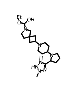 CCOC(O)N1CCC2(CC(N3CCC(N4CCCC4C4=NN(C)NN4)CC3)C2)C1